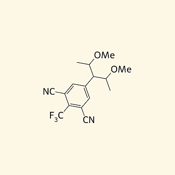 COC(C)C(c1cc(C#N)c(C(F)(F)F)c(C#N)c1)C(C)OC